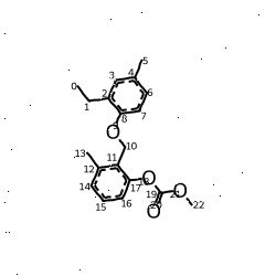 CCc1cc(C)ccc1OCc1c(C)cccc1OC(=O)OC